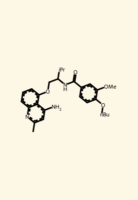 CCCCOc1ccc(C(=O)NC(COc2cccc3nc(C)cc(N)c23)C(C)C)cc1OC